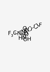 O=C(NO)[C@H]1CN(CC(F)(F)F)CCN1S(=O)(=O)N1CC=C(c2ccc(F)cc2)CC1